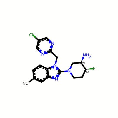 N#Cc1ccc2c(c1)nc(N1CC[C@H](F)[C@H](N)C1)n2Cc1ncc(Cl)cn1